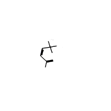 C=C(/C=C\C(C)(C)OC)C(F)(F)F